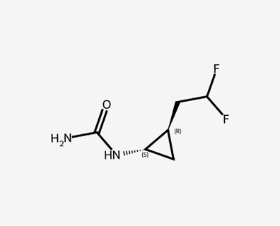 NC(=O)N[C@H]1C[C@@H]1CC(F)F